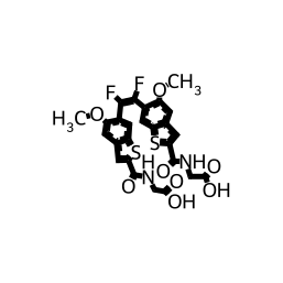 COc1cc2cc(C(=O)NCC(=O)O)sc2cc1/C(F)=C(/F)c1cc2sc(C(=O)NCC(=O)O)cc2cc1OC